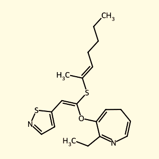 CCCC/C=C(\C)S/C(=C/c1ccns1)OC1=CCC=CN=C1CC